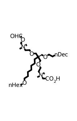 CCCCCCCCCCCCOC[C@@](CCCCCCCOCCCCCC)(COCC[N+](C)(C)COC=O)COCC[N+](C)(C)CC(=O)O